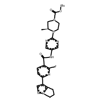 C[C@H]1CN(C(=O)OC(C)(C)C)CCN1c1ncc(NC(=O)c2ccc(-c3cnn4c3CCC4)nc2F)cn1